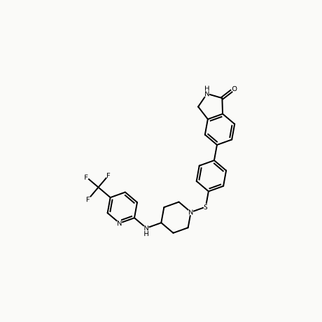 O=C1NCc2cc(-c3ccc(SN4CCC(Nc5ccc(C(F)(F)F)cn5)CC4)cc3)ccc21